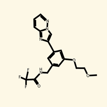 COCCOc1cc(CNC(=O)C(F)(F)F)cc(-c2cn3ncccc3n2)c1